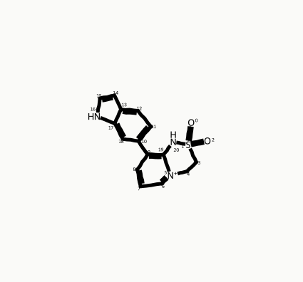 O=S1(=O)CC[n+]2cccc(-c3ccc4cc[nH]c4c3)c2N1